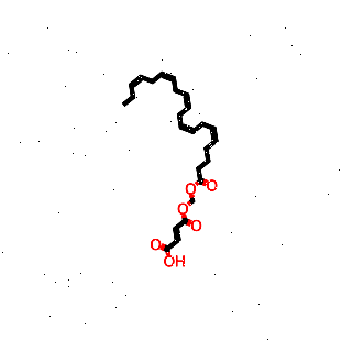 CC/C=C\C/C=C\C/C=C\C/C=C\C/C=C\CCCC(=O)OCOC(=O)/C=C/C(=O)O